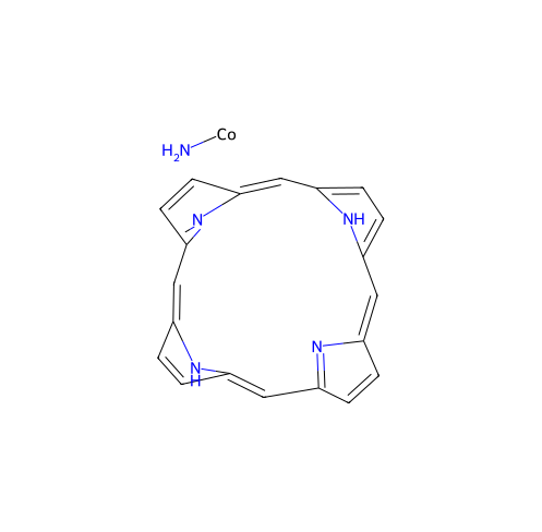 C1=Cc2cc3ccc(cc4nc(cc5ccc(cc1n2)[nH]5)C=C4)[nH]3.[NH2][Co]